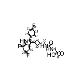 O=C(NCC1(O)COC1)NC[C@H]1C[C@H](c2c(-c3ccc(F)cc3)[nH]c3c(F)cc(F)cc32)C1